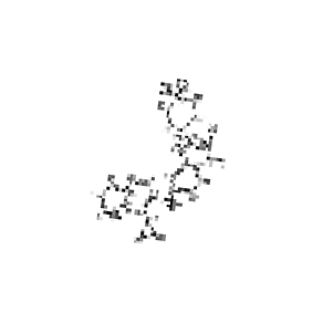 CC(c1ccc(Nc2cnc3cccnc3c2C2CC2)cc1)N(C)C(=O)C1CCS(=O)(=O)CC1